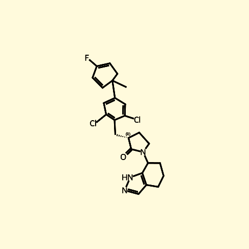 CC1(c2cc(Cl)c(C[C@@H]3CCN(C4CCCc5cn[nH]c54)C3=O)c(Cl)c2)C=CC(F)=CC1